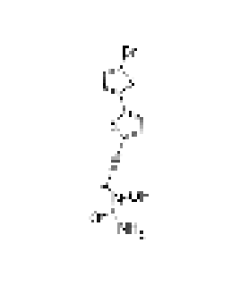 CC(C#Cc1ccc(-c2ccc(Br)s2)s1)N(O)C(N)=O